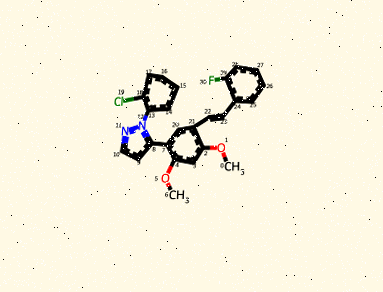 COc1cc(OC)c(-c2ccnn2-c2ccccc2Cl)cc1/C=C/c1ccccc1F